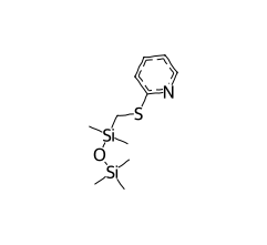 C[Si](C)(C)O[Si](C)(C)CSc1ccccn1